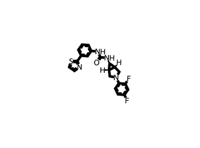 O=C(Nc1cccc(-c2nccs2)c1)N[C@H]1[C@@H]2CN(c3ccc(F)cc3F)C[C@@H]21